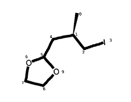 C[C@@H](CI)CC1OCCO1